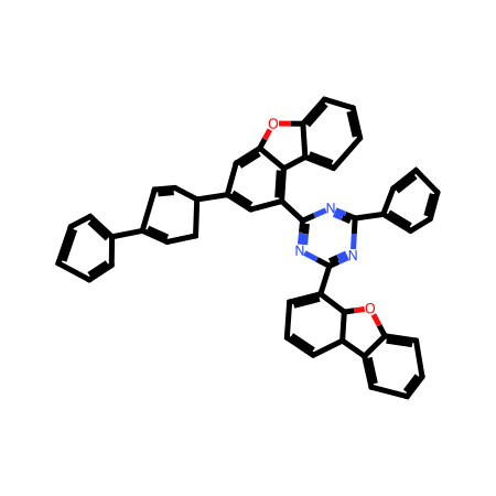 C1=CC2c3ccccc3OC2C(c2nc(-c3ccccc3)nc(-c3cc(C4C=CC(c5ccccc5)=CC4)cc4oc5ccccc5c34)n2)=C1